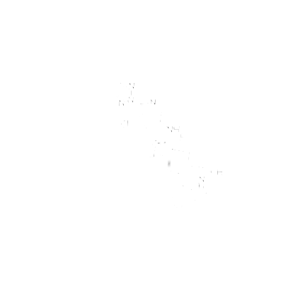 C#CC1=C(c2ccccc2N)C=C(Cl)C(F)(C(=O)Nc2cnc(-n3nccn3)c(Cl)c2)C1